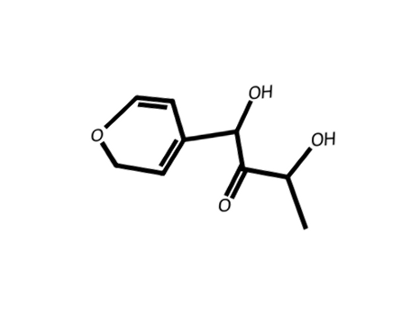 CC(O)C(=O)C(O)C1=CCOC=C1